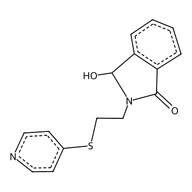 O=C1c2ccccc2C(O)N1CCSc1ccncc1